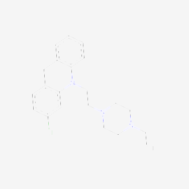 CCN1CCN(CCN2c3ccccc3Cc3ccc(Cl)cc32)CC1